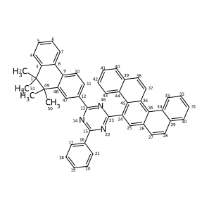 CC1(C)c2ccccc2-c2ccc(-c3nc(-c4ccccc4)nc(-c4cc5ccc6ccccc6c5c5ccc6ccccc6c45)n3)cc2C1(C)C